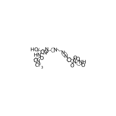 CC(C)(O)c1cc2nc(C3CCN(CCCN4CCN(c5ccc6c(c5)C(=O)N(C5CCC(=O)NC5=O)C6=O)CC4)CC3)cn2cc1NC(=O)c1cccc(C(F)(F)F)n1